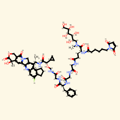 CC[C@@]1(O)C(=O)OCc2c1cc1n(c2=O)Cc2c-1nc1cc(F)c3c(c1c2[C@H](C)NC(=O)[C@@H](OCNC(=O)CNC(=O)[C@H](Cc1ccccc1)NC(=O)CNC(=O)CNC(=O)CC[C@H](NC(=O)CCCCCN1C(=O)C=CC1=O)C(=O)N(C)C[C@H](O)[C@@H](O)[C@H](O)[C@H](O)CO)C1CC1)CCC3